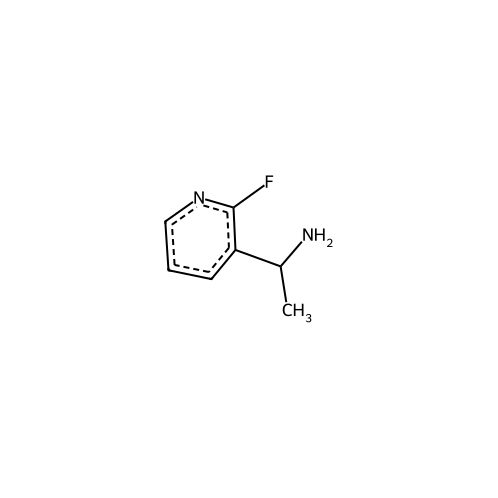 CC(N)c1cccnc1F